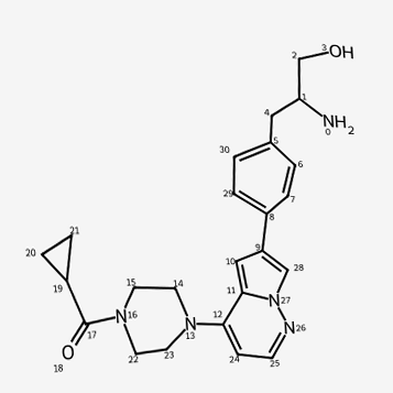 NC(CO)Cc1ccc(-c2cc3c(N4CCN(C(=O)C5CC5)CC4)ccnn3c2)cc1